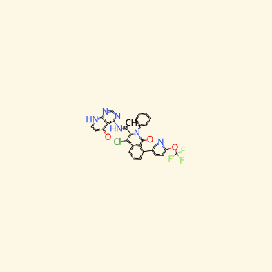 C[C@H](Nc1ncnc2[nH]ccc(=O)c12)c1c(Cl)c2cccc(-c3ccc(OC(F)(F)F)nc3)c2c(=O)n1-c1ccccc1